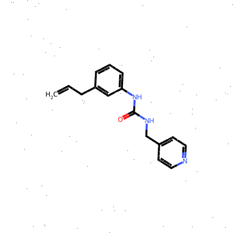 C=CCc1cccc(NC(=O)NCc2ccncc2)c1